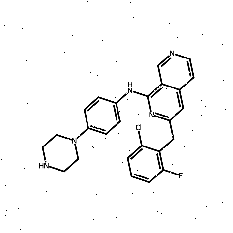 Fc1cccc(Cl)c1Cc1cc2ccncc2c(Nc2ccc(N3CCNCC3)cc2)n1